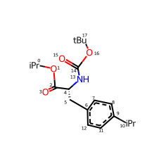 CC(C)OC(=O)[C@@H](Cc1ccc(C(C)C)cc1)NC(=O)OC(C)(C)C